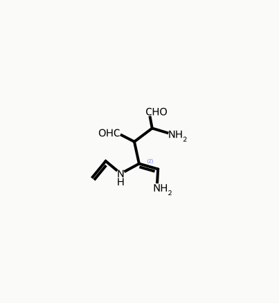 C=CN/C(=C\N)C(C=O)C(N)C=O